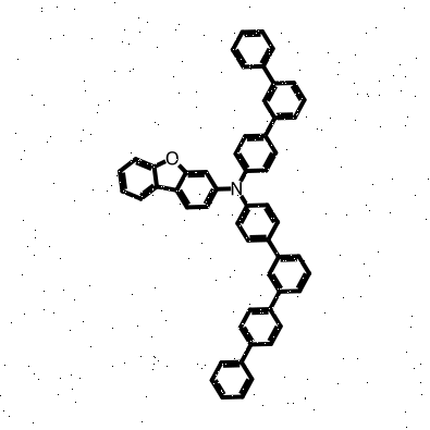 c1ccc(-c2ccc(-c3cccc(-c4ccc(N(c5ccc(-c6cccc(-c7ccccc7)c6)cc5)c5ccc6c(c5)oc5ccccc56)cc4)c3)cc2)cc1